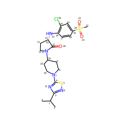 CC(C)c1nsc(N2CCC(N3CC[C@H](Nc4ccc(S(C)(=O)=O)cc4Cl)C3=O)CC2)n1